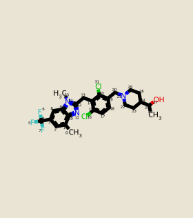 Cc1cc(C(F)(F)F)cc2c1nc(Cc1c(Cl)ccc(CN3CCC(C(C)O)CC3)c1Cl)n2C